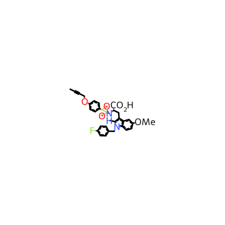 CC#CCOc1ccc(S(=O)(=O)N[C@@H](Cc2c(C)n(Cc3ccc(F)cc3)c3ccc(OC)cc23)C(=O)O)cc1